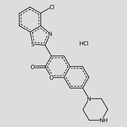 Cl.O=c1oc2cc(N3CCNCC3)ccc2cc1-c1nc2c(Cl)cccc2s1